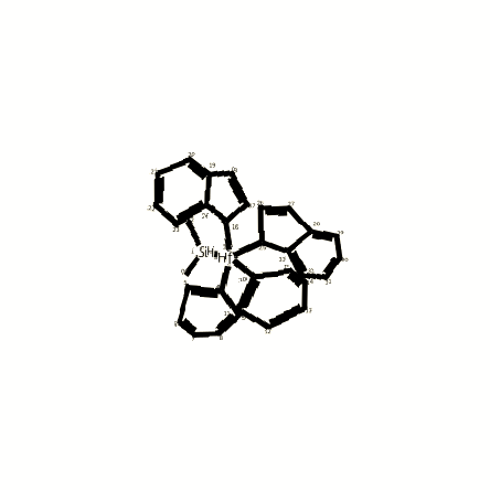 C[SiH](C)[Hf]([c]1ccccc1)([c]1ccccc1)([CH]1C=Cc2ccccc21)[CH]1C=Cc2ccccc21